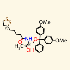 COc1ccc(C(OC[C@@H](NC(=O)CCCC[C@H]2CCSS2)[C@H](C)O)(c2ccccc2)c2ccc(OC)cc2)cc1